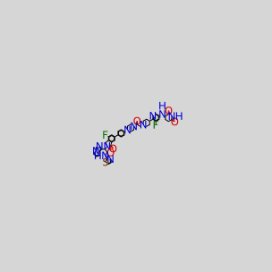 O=C1CCC(Nc2cnc(C3CCN(CC(=O)N4CCN(c5ccc(-c6cc(F)c7c(c6)C(=O)N(C(C(=O)Nc6nccs6)c6ncn8c6CCC8)C7)cc5)CC4)CC3)c(F)c2)C(=O)N1